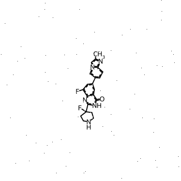 Cc1cn2cc(-c3cc(F)c4nc(C5(F)CCNCC5)[nH]c(=O)c4c3)ccc2n1